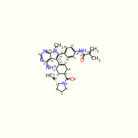 C#C[C@H]1CCCN1C(=O)C1CC=C(c2c(-c3ccc(NC(=O)C(=C)C)cc3)n(C)c3ncnc(N)c23)CC1